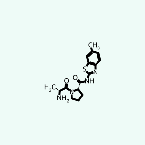 Cc1ccc2nc(NC(=O)[C@@H]3CCCN3C(=O)[C@@H](C)N)sc2c1